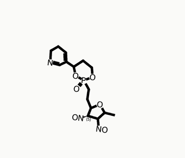 CC1OC(CCP2(=O)OCCC(C3=CCCN=C3)O2)[C@@H](N=O)C1N=O